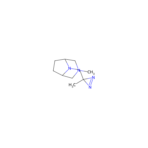 CN1CC2CCC(C1)N2CC1(C)N=N1